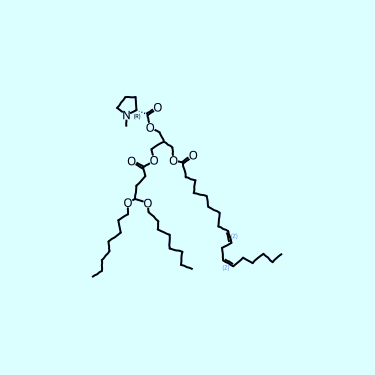 CCCCC/C=C\C/C=C\CCCCCCCC(=O)OCC(COC(=O)CCC(OCCCCCCCC)OCCCCCCCC)COC(=O)[C@H]1CCCN1C